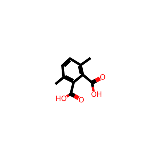 Cc1ccc(C)c(C(=O)O)c1C(=O)O